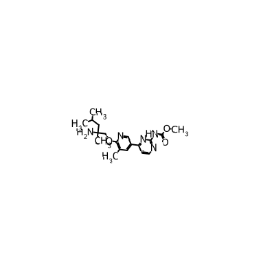 COC(=O)Nc1nccc(-c2cnc(OCC(C)(N)CC(C)C)c(C)c2)n1